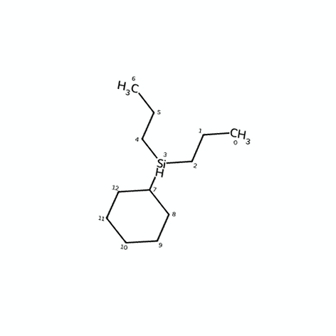 CCC[SiH](CCC)C1CCCCC1